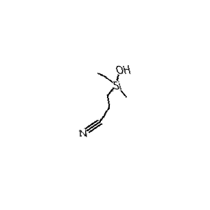 C[Si](C)(O)CCC#N